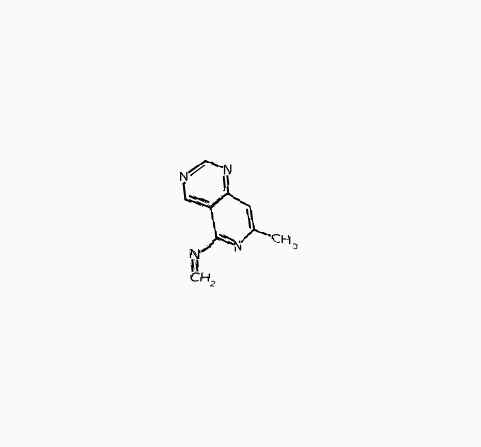 C=Nc1nc(C)cc2ncncc12